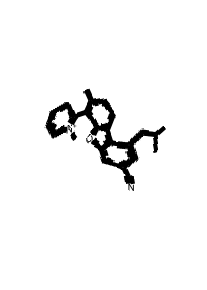 Cc1ccc2c(oc3cc(C#N)cc(CC(C)C)c32)c1-c1cccc[n+]1C